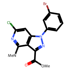 CNc1nc(Cl)cc2c1c(C(=O)OC)nn2-c1cccc(Br)c1